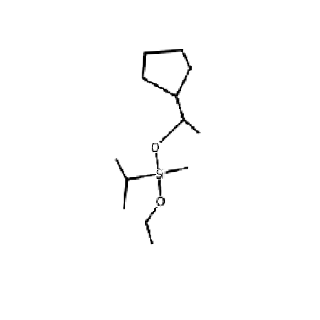 CCO[Si](C)(OC(C)C1CCCC1)C(C)C